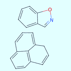 C1=Cc2cccc3cccc(c23)C1.c1ccc2oncc2c1